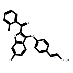 Cc1ccccc1C(=O)c1sc2cc(O)ccc2c1Oc1ccc(/C=C/C(=O)O)cc1